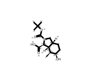 C[C@H]1[C@H]2[C@@H](CC[C@H]1O)CN(C(=O)OC(C)(C)C)[C@@H]2C(=O)O